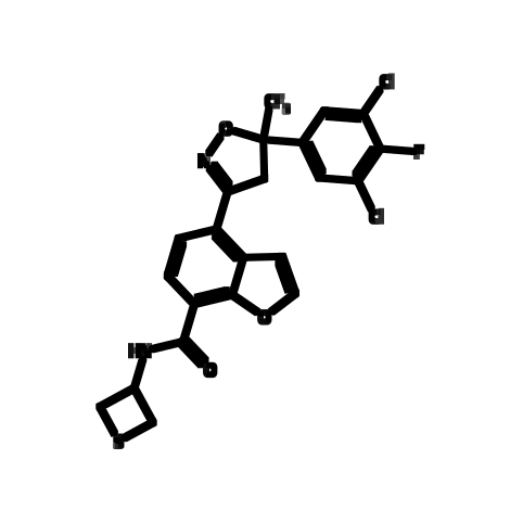 O=C(NC1CSC1)c1ccc(C2=NOC(c3cc(Cl)c(F)c(Cl)c3)(C(F)(F)F)C2)c2ccoc12